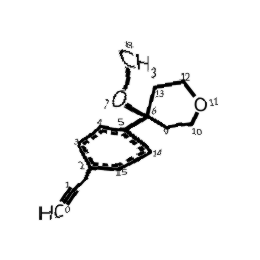 C#Cc1ccc(C2(OC)CCOCC2)cc1